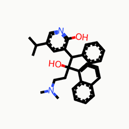 CC(C)c1cnc(O)c(C(c2ccccc2)C(O)(CCN(C)C)C2=C=C=Cc3ccccc32)c1